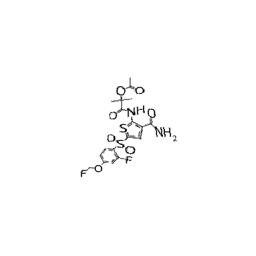 CC(=O)OC(C)(C)C(=O)Nc1sc(S(=O)(=O)c2ccc(OCF)cc2F)cc1C(N)=O